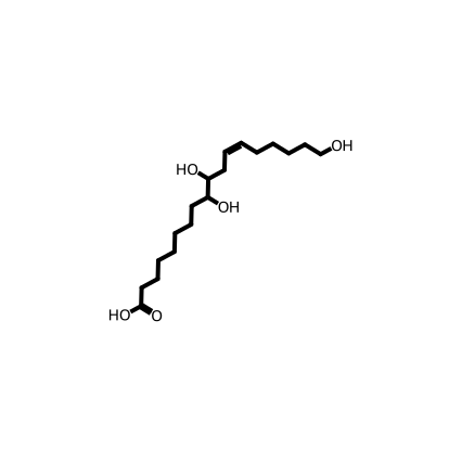 O=C(O)CCCCCCCC(O)C(O)C/C=C\CCCCCO